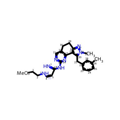 COCCN/C=C\C(=N)Nc1ncc2c(n1)-c1c(nn(C)c1Cc1cccc(C)c1)CC2